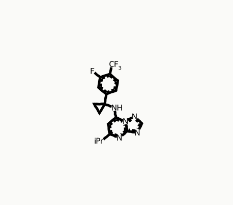 CC(C)c1cc(NC2(c3ccc(C(F)(F)F)c(F)c3)CC2)n2ncnc2n1